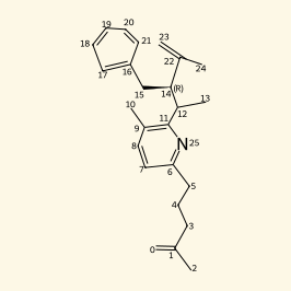 C=C(C)CCCc1ccc(C)c(C(C)[C@@H](Cc2ccccc2)C(=C)C)n1